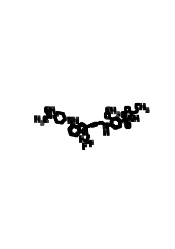 CCC(=O)NS(=O)(=O)c1ccc(NCC#Cc2cc3c(N[C@H]4CC[C@@H](N(C)C)CC4)cccc3n2CC(F)(F)F)c(OC)c1